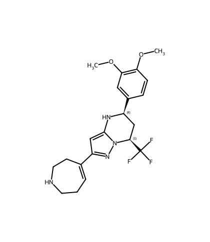 COc1ccc([C@H]2C[C@@H](C(F)(F)F)n3nc(C4=CCCNCC4)cc3N2)cc1OC